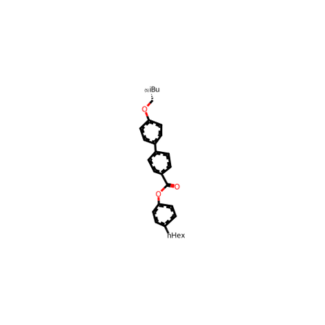 CCCCCCc1ccc(OC(=O)c2ccc(-c3ccc(OC[C@@H](C)CC)cc3)cc2)cc1